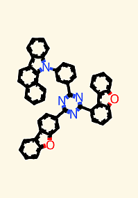 c1cc(-c2nc(-c3ccc4c(c3)oc3ccccc34)nc(-c3cccc4oc5ccccc5c34)n2)cc(-n2c3ccccc3c3ccc4ccccc4c32)c1